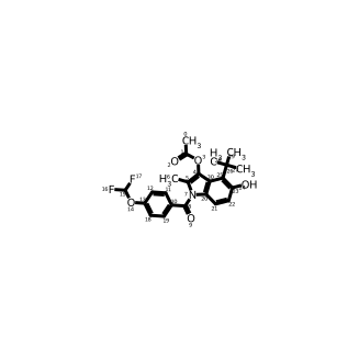 CC(=O)Oc1c(C)n(C(=O)c2ccc(OC(F)F)cc2)c2ccc(O)c(C(C)(C)C)c12